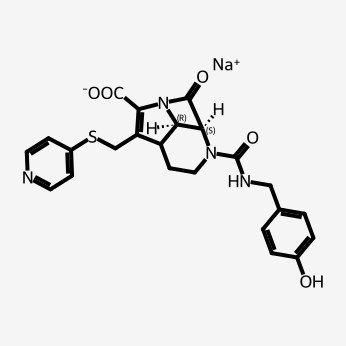 O=C([O-])C1=C(CSc2ccncc2)C2CCN(C(=O)NCc3ccc(O)cc3)[C@@H]3C(=O)N1[C@H]23.[Na+]